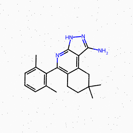 Cc1cccc(C)c1-c1nc2[nH]nc(N)c2c2c1CCC(C)(C)C2